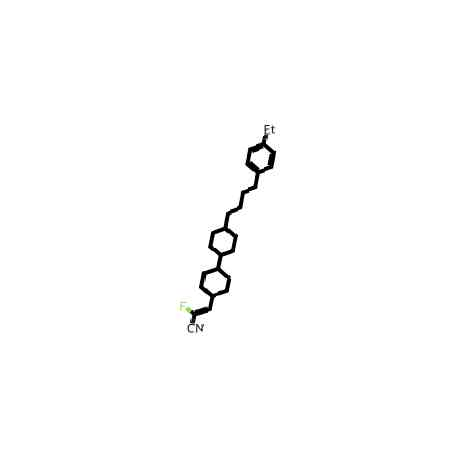 CCc1ccc(CCCCC2CCC(C3CCC(C=C(F)C#N)CC3)CC2)cc1